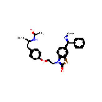 CON=C(c1ccccc1)c1ccc2c(c1)sc(=O)n2CCOc1ccc(CC(NC(=O)C(F)(F)F)C(=O)O)cc1